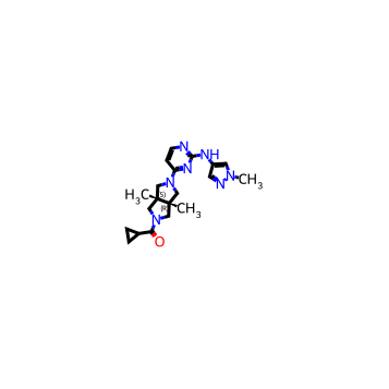 Cn1cc(Nc2nccc(N3C[C@]4(C)CN(C(=O)C5CC5)C[C@]4(C)C3)n2)cn1